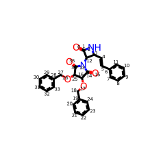 O=C1NC(C=Cc2ccccc2)C1N1C(=O)C(OCc2ccccc2)C(OCc2ccccc2)C1=O